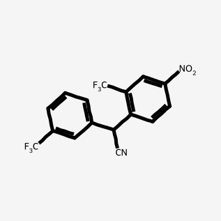 N#CC(c1cccc(C(F)(F)F)c1)c1ccc([N+](=O)[O-])cc1C(F)(F)F